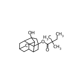 CCC(C)(C)C(=O)OC12CC3C4CC5CC3C(O)(C1)C(C5)C4C2